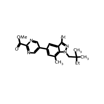 CCC(C)(C)Cn1nc(C(C)=O)c2cc(-c3cnc(C(=O)OC)nc3)cc(C)c21